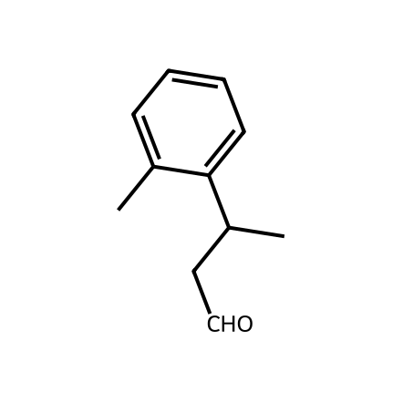 Cc1ccccc1C(C)CC=O